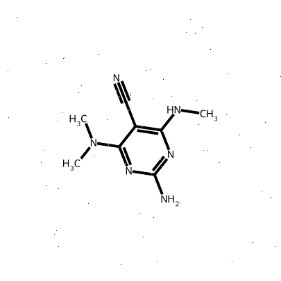 CNc1nc(N)nc(N(C)C)c1C#N